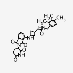 Cc1ccc(CNC(=O)CC2CC(Nc3cccc4c3C(=O)N(C3CCC(=O)NC3=O)C4=O)C2)c(C)c1C